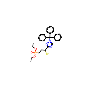 CCOP(=O)(CCC(S)c1ncn(C(c2ccccc2)(c2ccccc2)c2ccccc2)n1)OCC